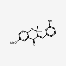 COc1ccc2c(c1)C(=O)C(=Cc1cccc([N+](=O)[O-])c1)C(C)(C)O2